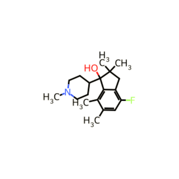 Cc1cc(F)c2c(c1C)C(O)(C1CCN(C)CC1)C(C)(C)C2